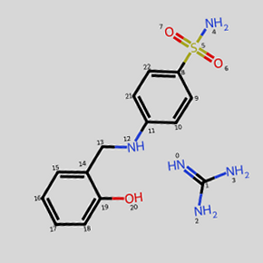 N=C(N)N.NS(=O)(=O)c1ccc(NCc2ccccc2O)cc1